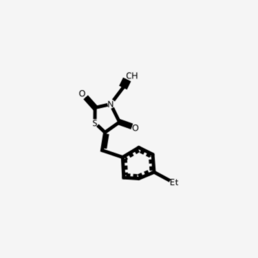 C#CN1C(=O)S/C(=C/c2ccc(CC)cc2)C1=O